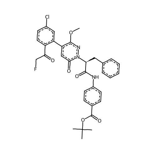 COc1nn([C@@H](Cc2ccccc2)C(=O)Nc2ccc(C(=O)OC(C)(C)C)cc2)c(=O)cc1-c1cc(Cl)ccc1C(=O)CF